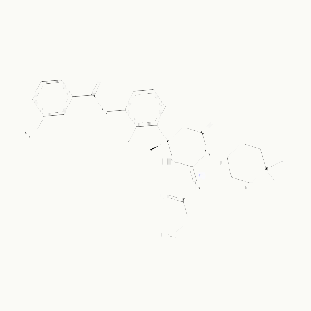 C[C@@H]1C[C@H](N2C(=O)C[C@@](C)(c3cccc(NC(=O)c4cccc(C#N)c4)c3Cl)N/C2=N\C(=O)OC(C)(C)C)CCC1(F)F